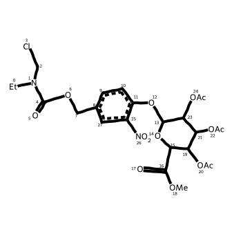 CCN(CCl)C(=O)OCc1ccc(OC2OC(C(=O)OC)C(OC(C)=O)C(OC(C)=O)C2OC(C)=O)c([N+](=O)[O-])c1